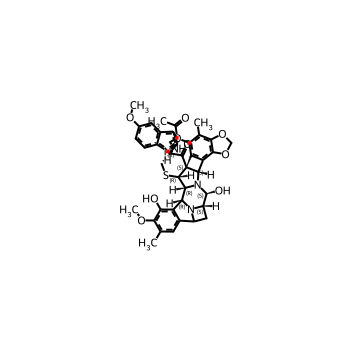 COc1ccc2[nH]c3c(c2c1)CCN[C@]31CS[C@H]2[C@H]3[C@H]4c5c(cc(C)c(OC)c5O)C5C[C@@H]([C@H](O)N3[C@H]3c6c7c(c(C)c(OC(C)=O)c6[C@@]32C1=O)OCO7)N54